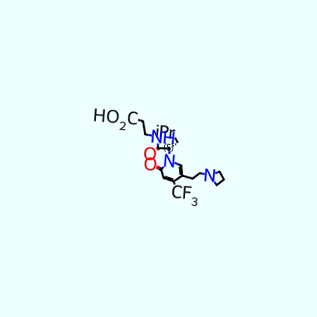 CC(C)C[C@@H](C(=O)NCCC(=O)O)n1cc(CCN2CCC2)c(C(F)(F)F)cc1=O